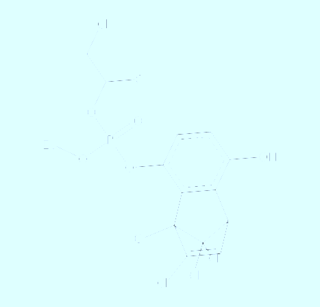 CCOP(=O)(Oc1ccc(O)c2c1C1(Cl)C(Cl)=CC2C1(Cl)Cl)OC(Cl)CCl